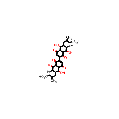 CC(CC(=O)O)CC1C(O)C2C(=O)C=C(C3=CC(=O)C4C(O)C(CC(C)CC(=O)O)C(C(C)C)C(O)C4C3=O)C(=O)C2C(O)C1C(C)C